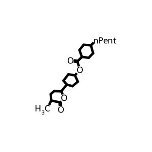 CCCCCC1CCC(C(=O)OC2CCC(C3CCC(C)C(=O)O3)CC2)CC1